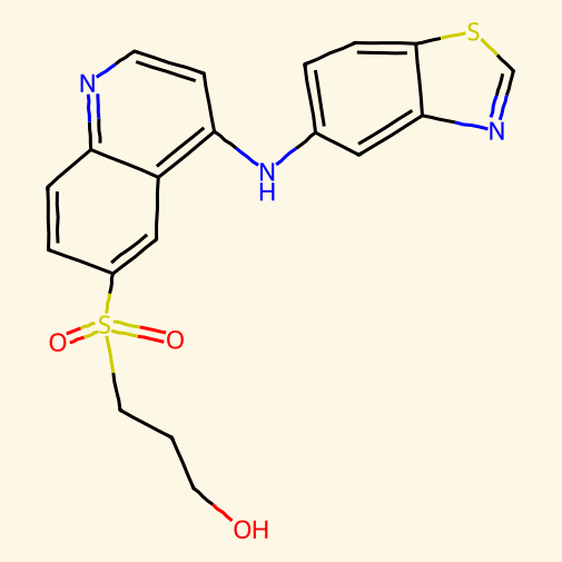 O=S(=O)(CCCO)c1ccc2nccc(Nc3ccc4scnc4c3)c2c1